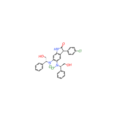 O=C1Nc2cc(N(Cl)[C@@H](CO)c3ccccc3)c(N(Cl)[C@@H](CO)c3ccccc3)cc2C1c1ccc(Cl)cc1